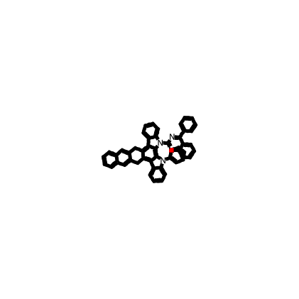 c1ccc(-c2nc(-n3c4ccccc4c4c5c(c6c7ccccc7n(-c7ccccc7)c6c43)Cc3cc4ccccc4cc3C5)nc3ccccc23)cc1